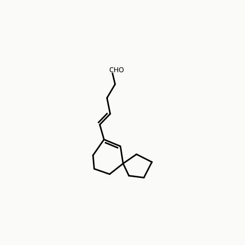 O=CCCC=CC1=CC2(CCCC2)CCC1